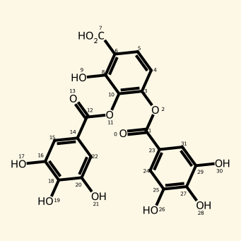 O=C(Oc1ccc(C(=O)O)c(O)c1OC(=O)c1cc(O)c(O)c(O)c1)c1cc(O)c(O)c(O)c1